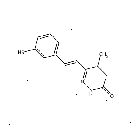 CC1CC(=O)NN=C1C=Cc1cccc(S)c1